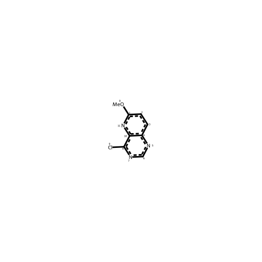 COc1ccc2ncnc(Cl)c2n1